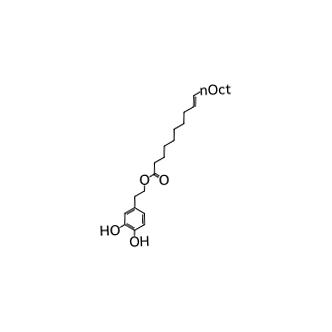 CCCCCCCCC=CCCCCCCCC(=O)OCCc1ccc(O)c(O)c1